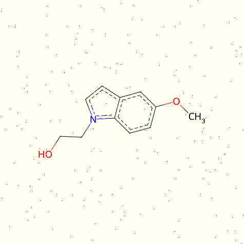 COc1ccc2c(ccn2CCO)c1